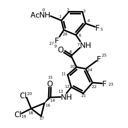 CC(=O)Nc1ccc(F)c(NC(=O)c2cc(NC(=O)[C@H]3CC3(Cl)Cl)cc(F)c2F)c1F